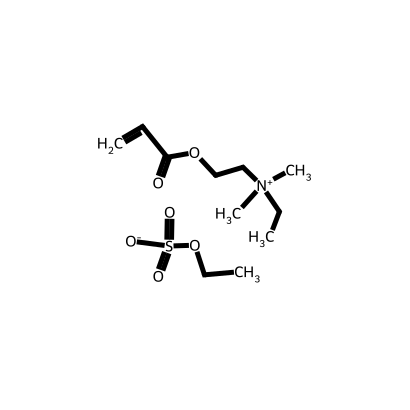 C=CC(=O)OCC[N+](C)(C)CC.CCOS(=O)(=O)[O-]